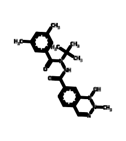 Cc1cc(C)cc(C(=O)N(NC(=O)c2ccc3c(c2)B(O)N(C)N=C3)C(C)(C)C)c1